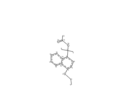 CCOc1ccc(C(C)(C)OC(C)=O)c2ccccc12